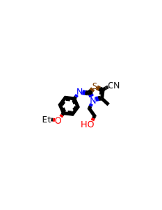 CCOc1ccc(N=c2sc(C#N)c(C)n2CCO)cc1